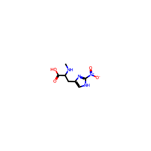 CNC(Cc1c[nH]c([N+](=O)[O-])n1)C(=O)O